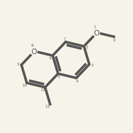 COc1ccc2c(c1)OCC=C2C